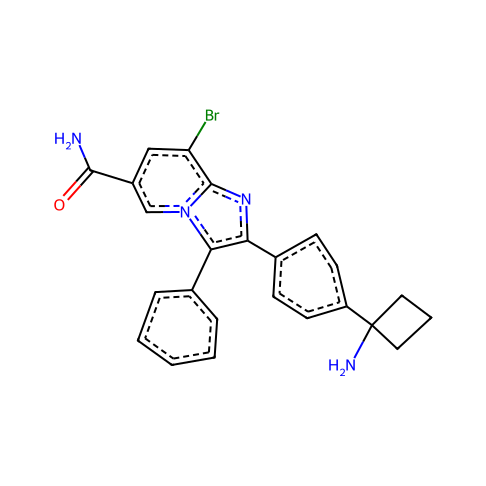 NC(=O)c1cc(Br)c2nc(-c3ccc(C4(N)CCC4)cc3)c(-c3ccccc3)n2c1